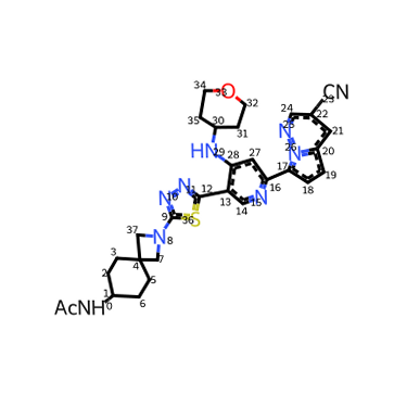 CC(=O)NC1CCC2(CC1)CN(c1nnc(-c3cnc(-c4ccc5cc(C#N)cnn45)cc3NC3CCOCC3)s1)C2